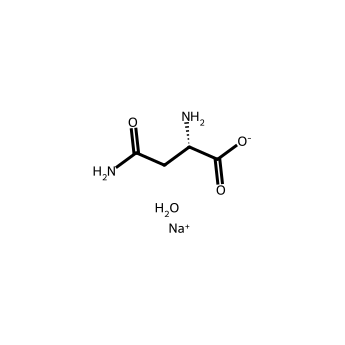 NC(=O)C[C@H](N)C(=O)[O-].O.[Na+]